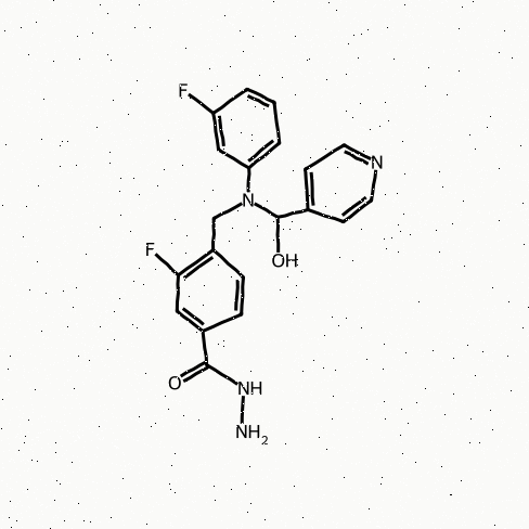 NNC(=O)c1ccc(CN(c2cccc(F)c2)C(O)c2ccncc2)c(F)c1